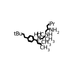 CC(C)=C[C@H](NCC(C)(C)NCC(N)CC(C)C)c1ccc(CCC(C)(C)C)cc1